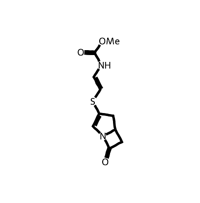 COC(=O)NC=CSC1=CN2C(=O)CC2C1